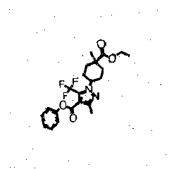 CCOC(=O)C1(C)CCC(n2nc(C)c(C(=O)Oc3ccccc3)c2C(F)(F)F)CC1